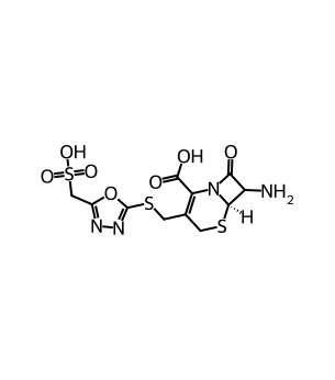 NC1C(=O)N2C(C(=O)O)=C(CSc3nnc(CS(=O)(=O)O)o3)CS[C@H]12